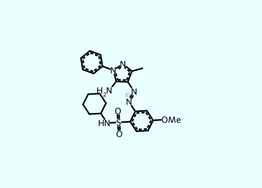 COc1ccc(S(=O)(=O)NC2CCCCC2)c(/N=N/c2c(C)nn(-c3ccccc3)c2N)c1